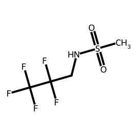 CS(=O)(=O)NCC(F)(F)C(F)(F)F